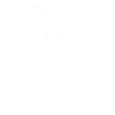 O=C(c1ccnc(-c2cccc(CSc3cc(Cl)c(Cl)cc3Cl)c2)n1)N(O)O